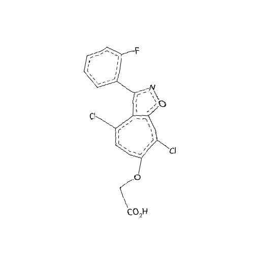 O=C(O)COc1cc(Cl)c2c(-c3ccccc3F)noc2c1Cl